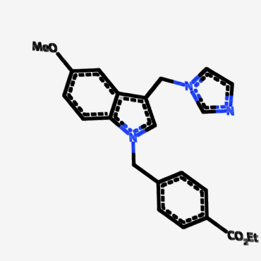 CCOC(=O)c1ccc(Cn2cc(Cn3ccnc3)c3cc(OC)ccc32)cc1